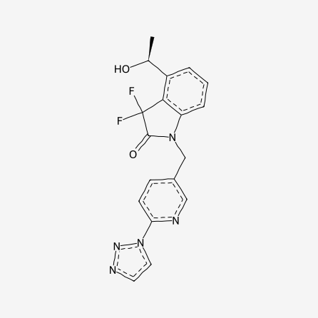 C[C@H](O)c1cccc2c1C(F)(F)C(=O)N2Cc1ccc(-n2ccnn2)nc1